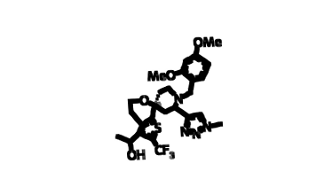 COc1ccc(CN2CC[C@@]3(CC2c2cn(C)nn2)OCCc2c3sc(C(F)(F)F)c2C(C)O)c(OC)c1